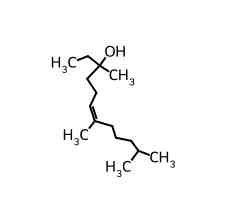 CCC(C)(O)CCC=C(C)CCCC(C)C